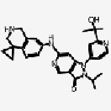 CC(C)n1c(=O)c2cnc(Nc3ccc4c(c3)CNCC43CC3)cc2n1-c1ccnc(C(C)(C)O)c1